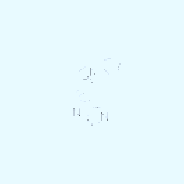 Cc1ncnc(NC(C)COc2ccn(-c3ccccc3)n2)c1Cl